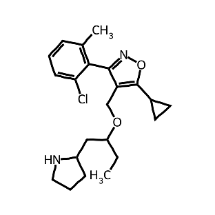 CCC(CC1CCCN1)OCc1c(-c2c(C)cccc2Cl)noc1C1CC1